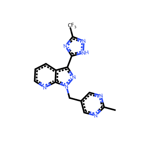 Cc1ncc(Cn2nc(-c3nc(C(F)(F)F)n[nH]3)c3cccnc32)cn1